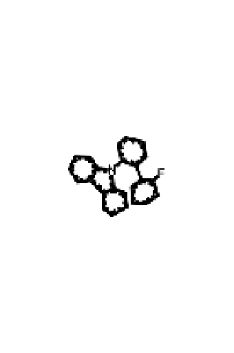 Fc1ccccc1-c1ccccc1-n1c2ccccc2c2ccccc21